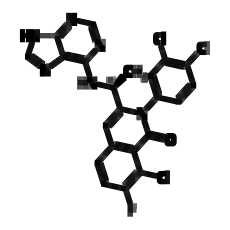 C[C@H](Nc1ncnc2[nH]cnc12)c1cc2ccc(F)c(Cl)c2c(=O)n1-c1ccc(Cl)c(Cl)c1